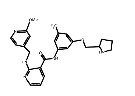 COc1cc(CNc2ncccc2C(=O)Nc2cc(OCC3CCCN3)cc(C(F)(F)F)c2)ccn1